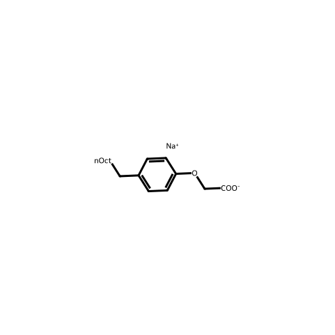 CCCCCCCCCc1ccc(OCC(=O)[O-])cc1.[Na+]